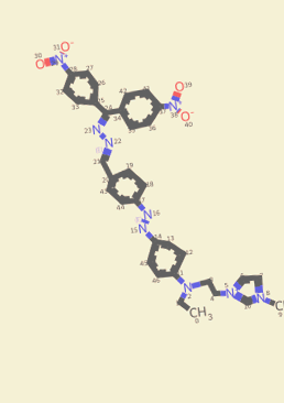 CCN(CC[n+]1ccn(C)c1)c1ccc(/N=N/c2ccc(/C=N/N=C(c3ccc([N+](=O)[O-])cc3)c3ccc([N+](=O)[O-])cc3)cc2)cc1